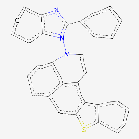 C1=CN(n2c(-c3ccccc3)nc3ccccc32)c2cccc3cc4sc5ccccc5c4c1c23